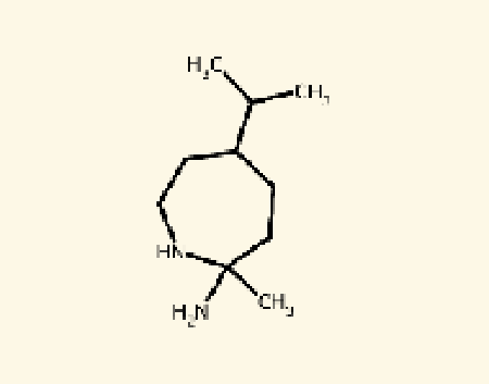 CC(C)C1CCNC(C)(N)CC1